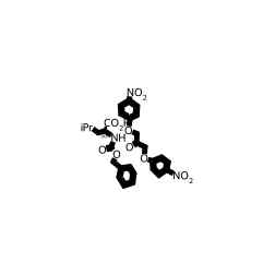 CC(C)C[C@H](NC(=O)OCc1ccccc1)C(=O)O.O=C(COc1ccc([N+](=O)[O-])cc1)COc1ccc([N+](=O)[O-])cc1